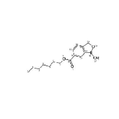 CCCCCCCOC(=O)c1ccc2c(c1)B(O)OC2